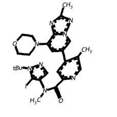 Cc1nc2c(N3CCOCC3)cc(-c3cc(C(=O)N(C)c4cnn(C(C)(C)C)c4I)ncc3C)cn2n1